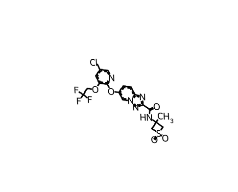 CC1(NC(=O)c2nc3ccc(Oc4ncc(Cl)cc4OCC(F)(F)F)cn3n2)CS(=O)(=O)C1